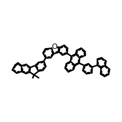 CC1(C)c2ccc(-c3ccc4oc5ccc(-c6c7ccccc7c(-c7cccc(-c8cccc9ccccc89)c7)c7ccccc67)cc5c4c3)cc2-c2cc3ccccc3cc21